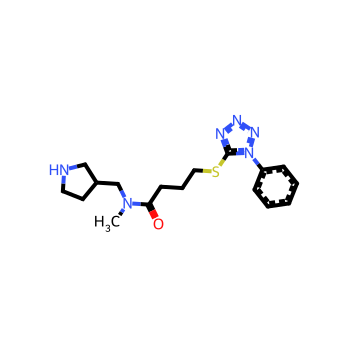 CN(CC1CCNC1)C(=O)CCCSc1nnnn1-c1ccccc1